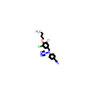 CCCCOc1c(Cl)cc(CN(c2ccc(C#N)cc2)n2cnnc2)cc1Cl